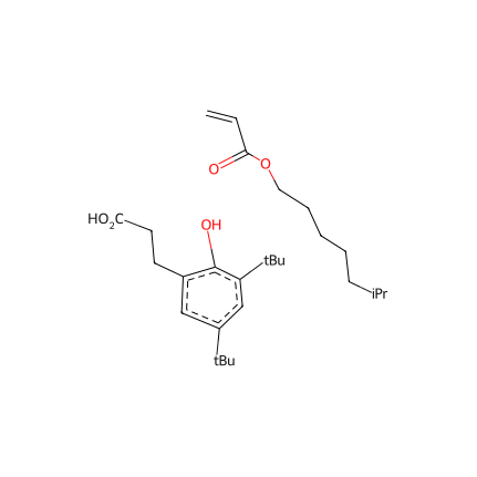 C=CC(=O)OCCCCCC(C)C.CC(C)(C)c1cc(CCC(=O)O)c(O)c(C(C)(C)C)c1